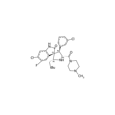 CN1CCN(C(=O)[C@@H]2N[C@H](CC(C)(C)C)[C@]3(C(=O)Nc4cc(Cl)c(F)cc43)[C@H]2c2cccc(Cl)c2)CC1